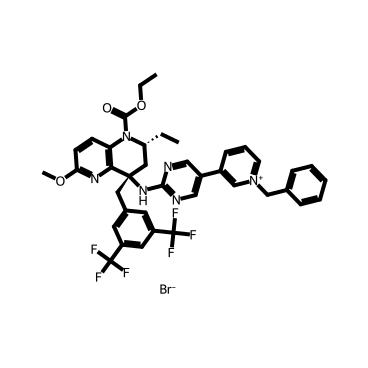 CCOC(=O)N1c2ccc(OC)nc2[C@@](Cc2cc(C(F)(F)F)cc(C(F)(F)F)c2)(Nc2ncc(-c3ccc[n+](Cc4ccccc4)c3)cn2)C[C@H]1CC.[Br-]